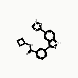 O=C(NC1CCC1)c1cccc(-c2n[nH]c3ccc(-c4nc[nH]n4)cc23)c1